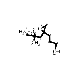 CCC(C)(C)CC1(CCCO)CO1